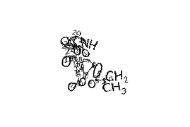 C=C(C)C(=O)OC1C2CC3C1OC(=O)C3C2C(=O)Oc1c2c3oc1cc3C(=O)N2